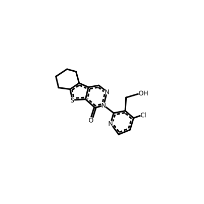 O=c1c2sc3c(c2cnn1-c1nccc(Cl)c1CO)CCCC3